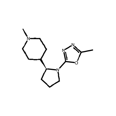 Cc1nnc(N2CCC[C@H]2C2CCN(C)CC2)o1